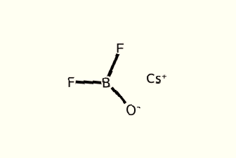 [Cs+].[O-]B(F)F